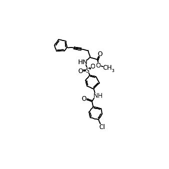 COC(=O)C(CC#Cc1ccccc1)NS(=O)(=O)c1ccc(NC(=O)c2ccc(Cl)cc2)cc1